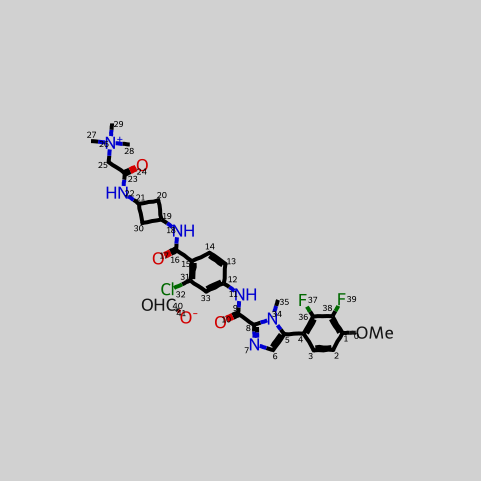 COc1ccc(-c2cnc(C(=O)Nc3ccc(C(=O)NC4CC(NC(=O)C[N+](C)(C)C)C4)c(Cl)c3)n2C)c(F)c1F.O=C[O-]